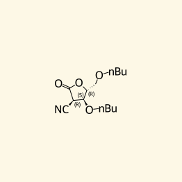 CCCCOC[C@H]1OC(=O)[C@H](C#N)[C@@H]1OCCCC